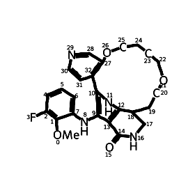 COc1c(F)cccc1Nc1c2[nH]c3c1C(=O)NCC3CCOCCCCOc1cnccc1-2